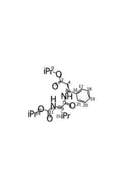 CC(C)OC(=O)C[C@H](NC(=O)[C@@H](NC(=O)OC(C)C)C(C)C)c1ccccc1